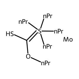 CCCOC(S)=S(CCC)(CCC)(CCC)CCC.[Mo]